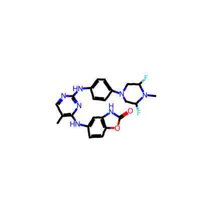 Cc1cnc(Nc2ccc(N3CC(F)N(C)C(F)C3)cc2)nc1Nc1ccc2oc(=O)[nH]c2c1